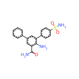 NC(=O)c1cc(-c2ccccc2)cc(-c2ccc(S(N)(=O)=O)cc2)c1N